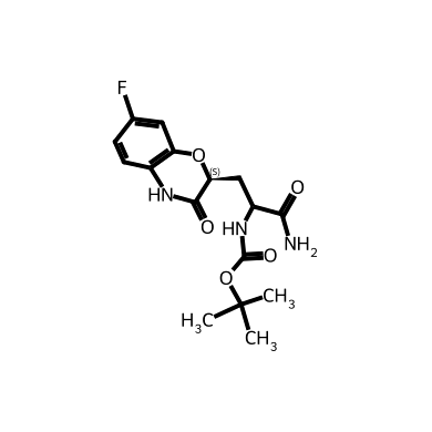 CC(C)(C)OC(=O)NC(C[C@@H]1Oc2cc(F)ccc2NC1=O)C(N)=O